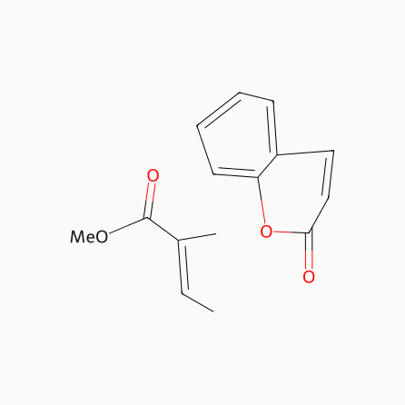 CC=C(C)C(=O)OC.O=c1ccc2ccccc2o1